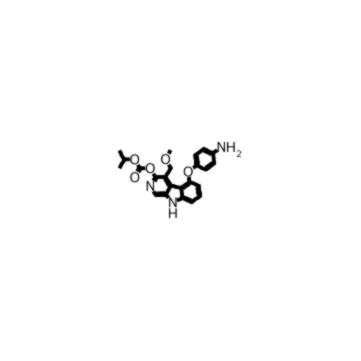 COCc1c(OC(=O)OC(C)C)ncc2[nH]c3cccc(Oc4ccc(N)cc4)c3c12